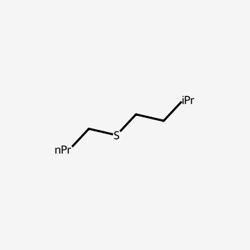 [CH2]C(C)CCSCCCC